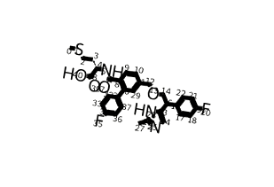 CSCC[C@H](NC(=O)c1ccc(COCC(c2ccc(F)cc2)c2cnc(C)[nH]2)cc1-c1ccc(F)cc1)C(=O)O